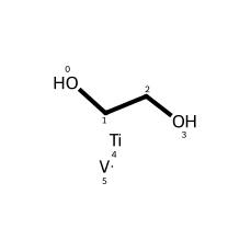 OCCO.[Ti].[V]